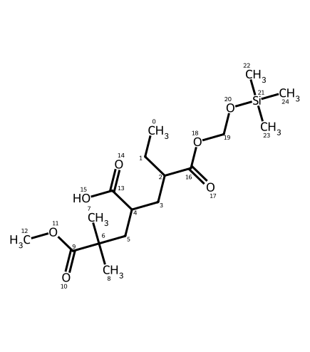 CCC(CC(CC(C)(C)C(=O)OC)C(=O)O)C(=O)OCO[Si](C)(C)C